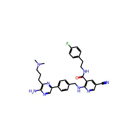 CN(C)CCCc1nc(-c2ccc(CNc3ncc(C#N)cc3C(=O)NCCc3ccc(F)cc3)cc2)cnc1N